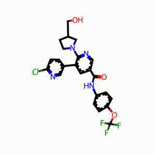 O=C(Nc1ccc(OC(F)(F)F)cc1)c1cnc(N2CCC(CO)C2)c(-c2ccc(Cl)nc2)c1